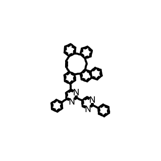 C1=C\c2ccc(-c3cc(-c4ccccc4)nc(-c4cnc(-c5ccccc5)nc4)n3)cc2-c2ccc3ccccc3c2Cc2ccccc2-c2ccccc2/1